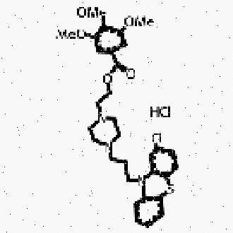 COc1cc(C(=O)OCCN2CCN(CCCN3c4ccccc4Sc4ccc(Cl)cc43)CC2)cc(OC)c1OC.Cl